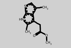 COC(=O)Cc1c(C)[nH]c2scc(C)c12